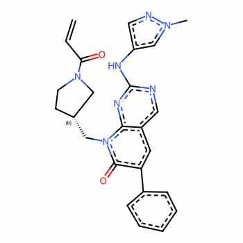 C=CC(=O)N1CC[C@@H](Cn2c(=O)c(-c3ccccc3)cc3cnc(Nc4cnn(C)c4)nc32)C1